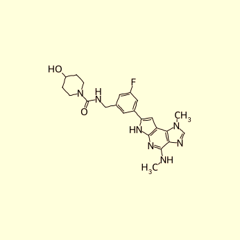 CNc1nc2[nH]c(-c3cc(F)cc(CNC(=O)N4CCC(O)CC4)c3)cc2c2c1ncn2C